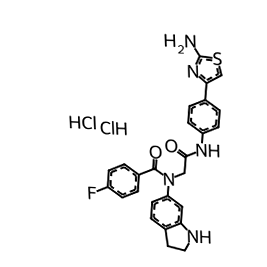 Cl.Cl.Nc1nc(-c2ccc(NC(=O)CN(C(=O)c3ccc(F)cc3)c3ccc4c(c3)NCC4)cc2)cs1